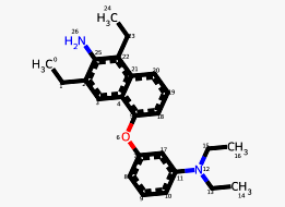 CCc1cc2c(Oc3cccc(N(CC)CC)c3)cccc2c(CC)c1N